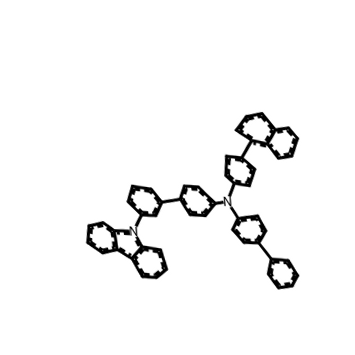 c1ccc(-c2ccc(N(c3ccc(-c4cccc(-n5c6ccccc6c6ccccc65)c4)cc3)c3ccc(-c4cccc5ccccc45)cc3)cc2)cc1